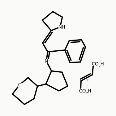 C(=C1CCCN1)C(=NC1CCCC1C1CCCCC1)c1ccccc1.O=C(O)/C=C/C(=O)O